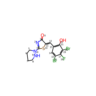 O=C1N=C(N2CCCCN2)SC1=Cc1cc(Br)c(F)c(Br)c1O